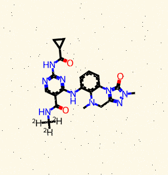 [2H]C([2H])([2H])NC(=O)c1cnc(NC(=O)C2CC2)nc1Nc1cccc2c1N(C)Cc1nn(C)c(=O)n1-2